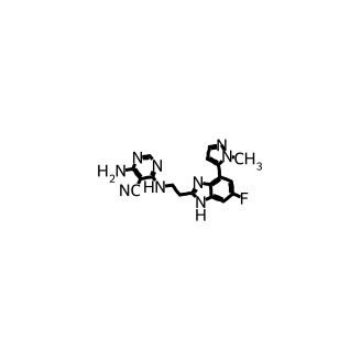 Cn1nccc1-c1cc(F)cc2[nH]c(CCNc3ncnc(N)c3C#N)nc12